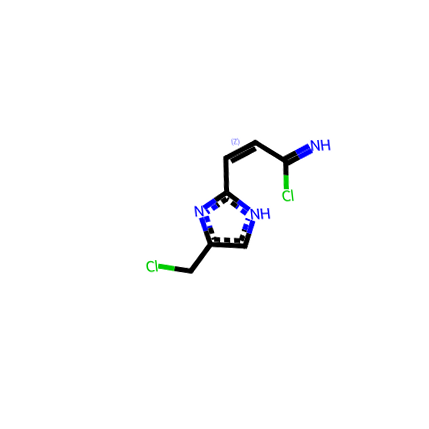 N=C(Cl)/C=C\c1nc(CCl)c[nH]1